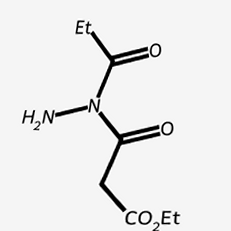 CCOC(=O)CC(=O)N(N)C(=O)CC